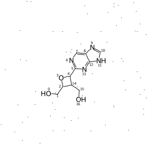 OCC1OC(c2ncc3nc[nH]c3n2)C1CO